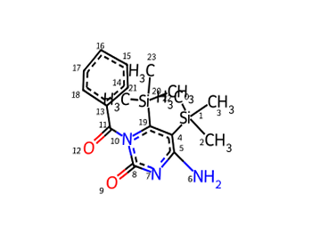 C[Si](C)(C)c1c(N)nc(=O)n(C(=O)c2ccccc2)c1[Si](C)(C)C